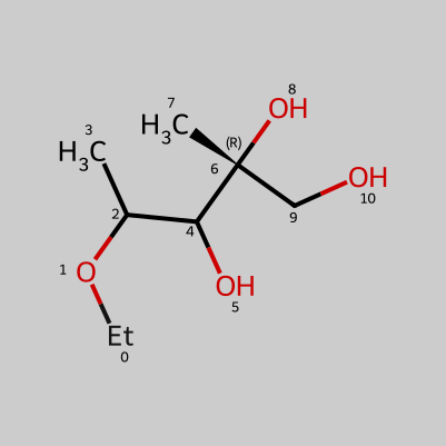 CCOC(C)C(O)[C@](C)(O)CO